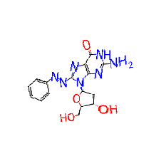 Nc1nc2c(nc(N=Nc3ccccc3)n2[C@H]2C[C@H](O)[C@@H](CO)O2)c(=O)[nH]1